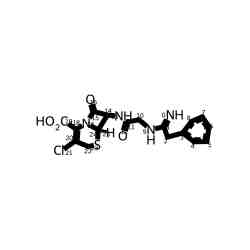 N=C(Cc1ccccc1)NCC(=O)NC1C(=O)N2C(C(=O)O)=C(Cl)CS[C@@H]12